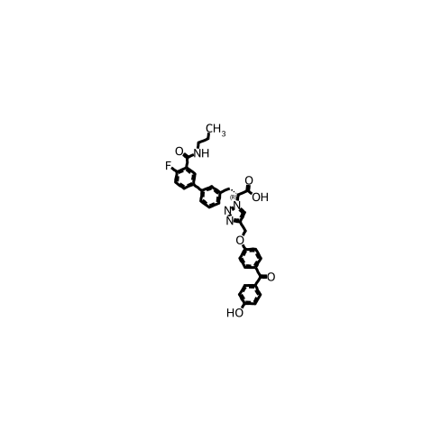 CCCNC(=O)c1cc(-c2cccc(C[C@H](C(=O)O)n3cc(COc4ccc(C(=O)c5ccc(O)cc5)cc4)nn3)c2)ccc1F